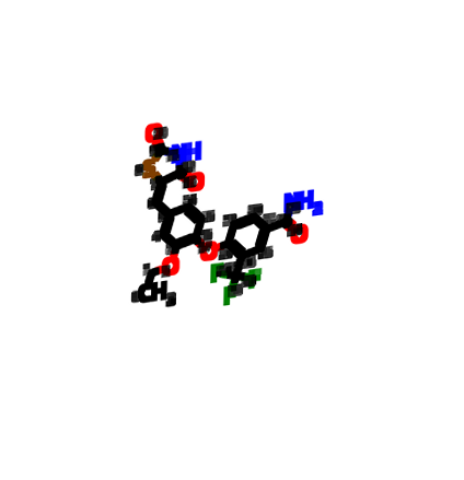 CCOc1cc(C=C2SC(=O)NC2=O)ccc1Oc1ccc(C(N)=O)cc1C(F)(F)F